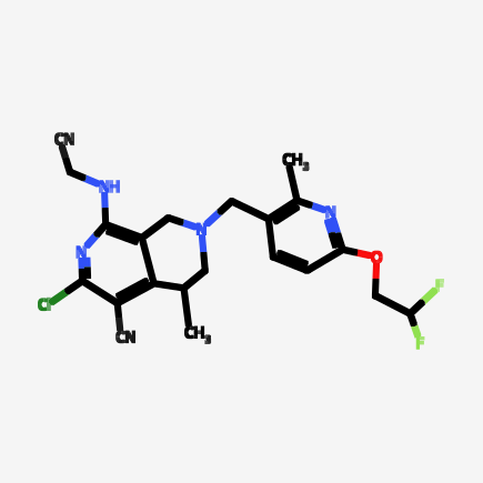 Cc1nc(OCC(F)F)ccc1CN1Cc2c(NCC#N)nc(Cl)c(C#N)c2C(C)C1